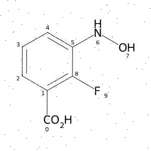 O=C(O)c1cccc(NO)c1F